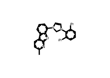 Cc1ccc2c(n1)oc1c(N3C=CN(c4c(C(C)C)cccc4C(C)C)C3)cccc12